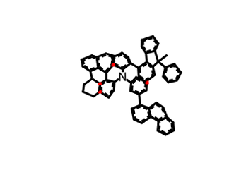 CC1(c2ccccc2)c2ccccc2-c2c(-c3ccccc3N(c3cccc(-c4cccc5c4ccc4ccccc45)c3)c3ccccc3-c3cccc4cccc(C5CCCCC5)c34)cccc21